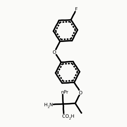 CCCC(N)(C(=O)O)C(C)Oc1ccc(Oc2ccc(F)cc2)cc1